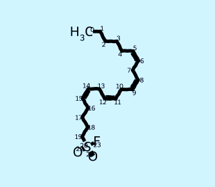 CCCCC/C=C\C/C=C\C/C=C\C/C=C\CCCCS(=O)(=O)F